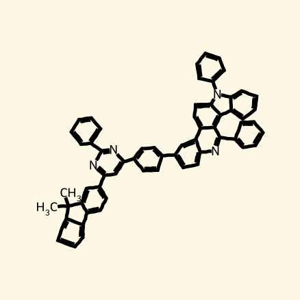 CC1(C)c2ccccc2-c2ccc(-c3cc(-c4ccc(-c5ccc6nc(-c7ccccc7)c7c(ccc8c7c7ccccc7n8-c7ccccc7)c6c5)cc4)nc(-c4ccccc4)n3)cc21